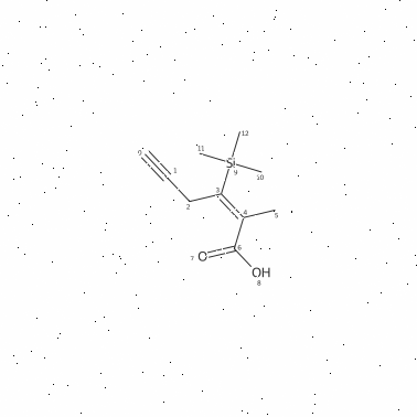 C#CCC(=C(C)C(=O)O)[Si](C)(C)C